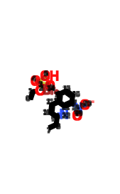 CCOS(=O)(=O)O.CCc1ccc2c(Br)ccc([N+](=O)[O-])c2n1